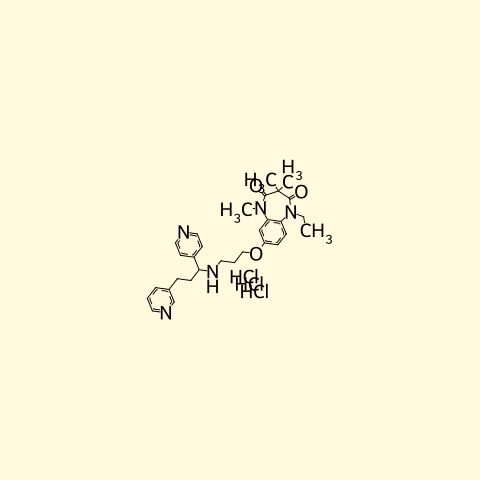 CCN1C(=O)C(C)(C)C(=O)N(C)c2cc(OCCCNC(CCc3cccnc3)c3ccncc3)ccc21.Cl.Cl.Cl